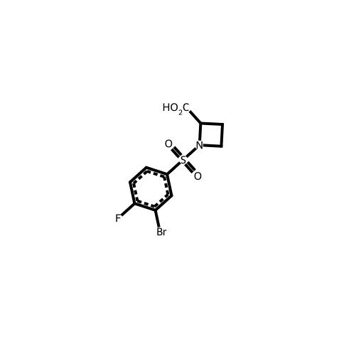 O=C(O)C1CCN1S(=O)(=O)c1ccc(F)c(Br)c1